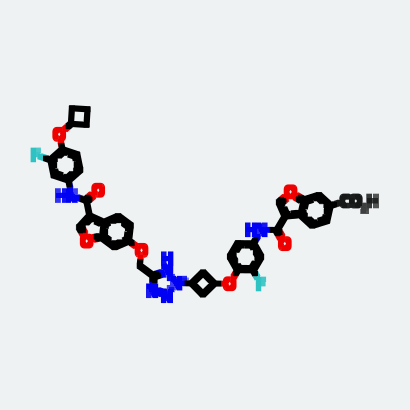 O=C(O)c1ccc2c(C(=O)Nc3ccc(OC4CC([n+]5nnc(COc6ccc7c(C(=O)Nc8ccc(OC9CCC9)c(F)c8)coc7c6)[nH]5)C4)c(F)c3)coc2c1